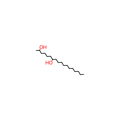 CCCCCCCCCCCC(O)CCCCC(C)O